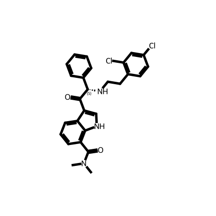 CN(C)C(=O)c1cccc2c(C(=O)[C@@H](NCCc3ccc(Cl)cc3Cl)c3ccccc3)c[nH]c12